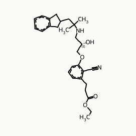 CCOC(=O)CCc1cccc(OC[C@@H](O)CNC(C)(C)CC2Cc3ccccc3C2)c1C#N